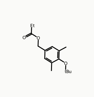 CCC(=O)OCc1cc(C)c(OC(C)(C)C)c(C)c1